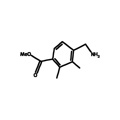 COC(=O)c1ccc(CN)c(C)c1C